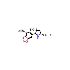 CCOC(=O)C1CC(C)(C#N)C(c2cc(OC)c3c(c2)OCO3)N1